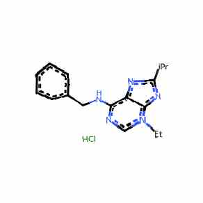 CCn1cnc(NCc2ccccc2)c2nc(C(C)C)nc1-2.Cl